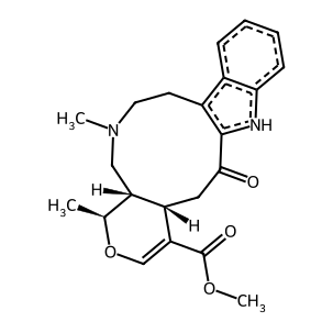 COC(=O)C1=CO[C@@H](C)[C@@H]2CN(C)CCc3c([nH]c4ccccc34)C(=O)C[C@H]12